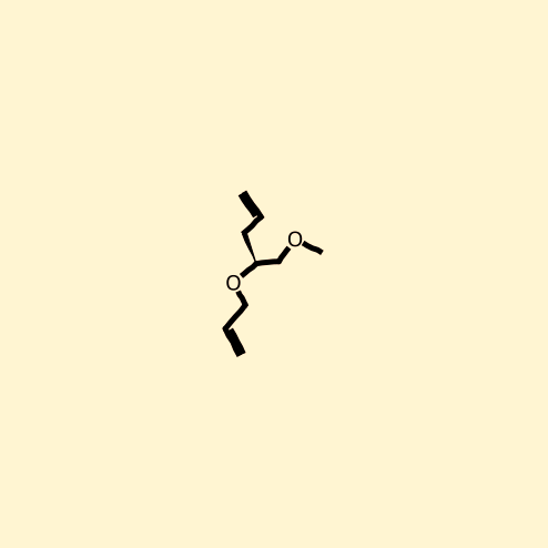 C=CCO[C@@H](CC=C)COC